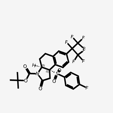 CC(C)(C)OC(=O)N1C(=O)C[C@]2(S(=O)(=O)c3ccc(F)cc3)c3ccc(C(F)(C(F)(F)F)C(F)(F)F)cc3CC[C@H]12